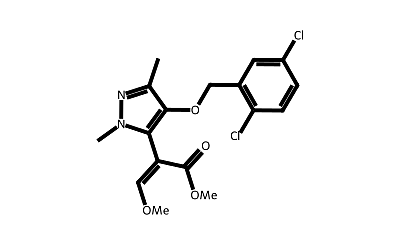 CO/C=C(\C(=O)OC)c1c(OCc2cc(Cl)ccc2Cl)c(C)nn1C